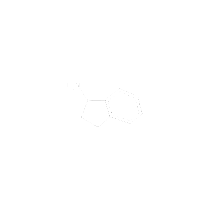 NC1[C]Cc2ccccc21